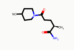 C[C@H](C[CH]C(=O)N1CCC(C#N)CC1)C(N)=O